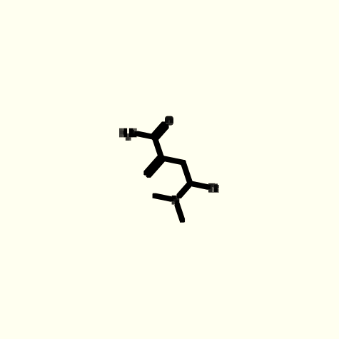 C=C(CC(CC)N(C)C)C(N)=O